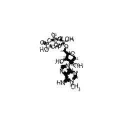 Cn1cnc2c(ncn2C2(O)COC(COP(=O)(O)OP(=O)(O)OP(=O)(O)O)C2O)c1=N